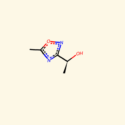 Cc1nc([C@H](C)O)no1